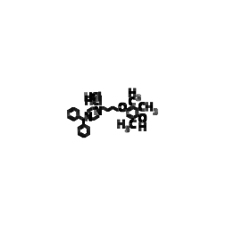 Cc1cc(OCCCCN2CCN(C(c3ccccc3)c3ccccc3)CC2)c(C)c(C)c1O.Cl.Cl